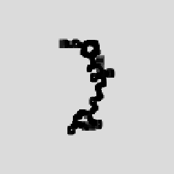 CC(C)COc1cccc(C(C)NS(=O)(=O)CCCOCn2ccc(=O)[nH]c2=O)c1